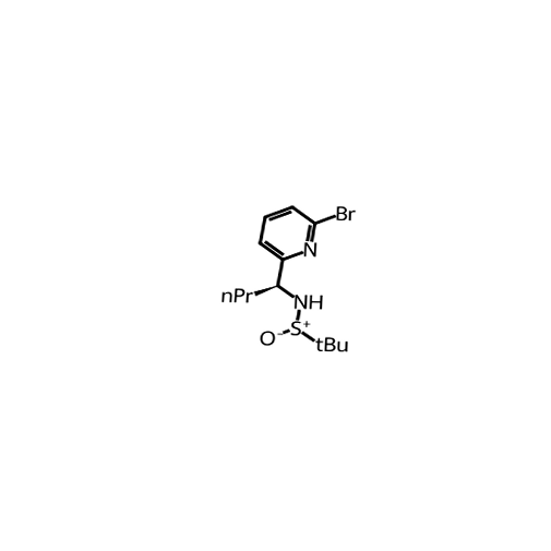 CCC[C@H](N[S+]([O-])C(C)(C)C)c1cccc(Br)n1